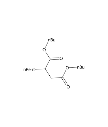 CCCCCC(CC(=O)OCCCC)C(=O)OCCCC